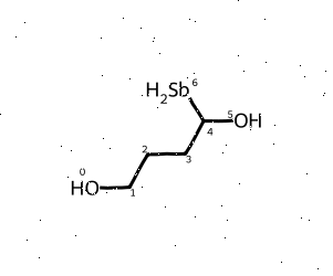 OCCC[CH](O)[SbH2]